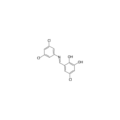 Oc1cc(Cl)cc(C=Nc2cc(Cl)cc(Cl)c2)c1O